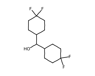 OC(C1CCC(F)(F)CC1)C1CCC(F)(F)CC1